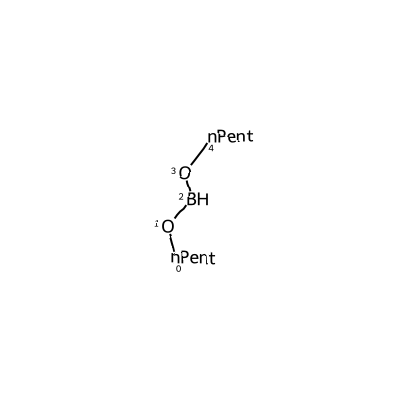 CCCCCOBOCCCCC